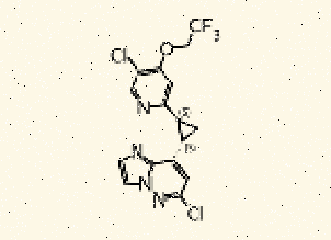 FC(F)(F)COc1cc([C@H]2C[C@@H]2c2cc(Cl)nn3ccnc23)ncc1Cl